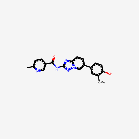 COc1cc(-c2ccc3nc(NC(=O)c4ccc(C)nc4)nn3c2)ccc1O